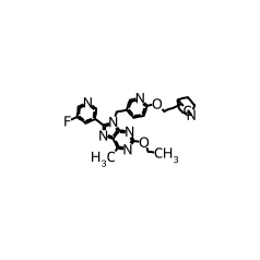 CCOc1nc(C)c2nc(-c3cncc(F)c3)n(Cc3ccc(OCC4CN5CCC4CC5)nc3)c2n1